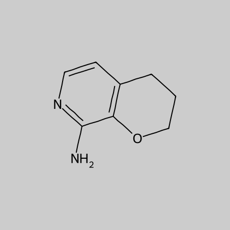 Nc1nccc2c1OCCC2